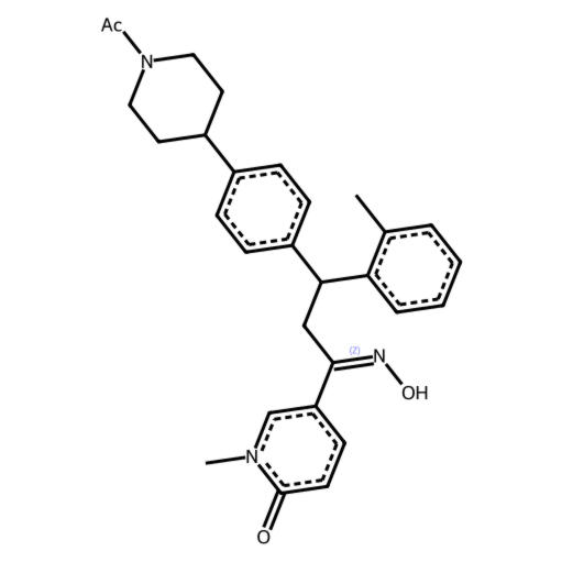 CC(=O)N1CCC(c2ccc(C(C/C(=N/O)c3ccc(=O)n(C)c3)c3ccccc3C)cc2)CC1